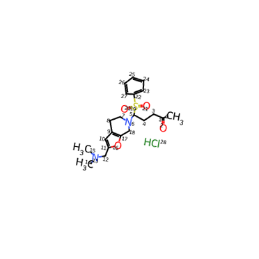 CC(=O)CCC(N1CCc2cc(CN(C)C)oc2C1)S(=O)(=O)c1ccccc1.Cl